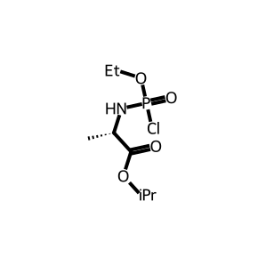 CCOP(=O)(Cl)N[C@@H](C)C(=O)OC(C)C